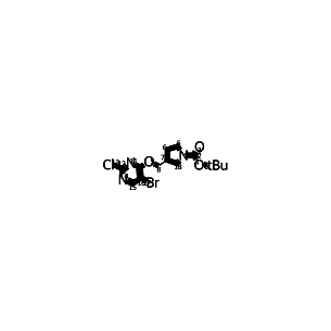 CC(C)(C)OC(=O)N1CC[C@@H](COc2nc(Cl)ncc2Br)C1